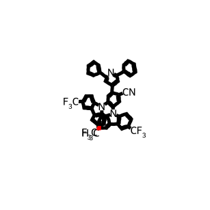 Cc1ccc2c(c1)c1cc(C(F)(F)F)ccc1n2-c1cc(C#N)c(-c2cc(-c3ccccc3)nc(-c3ccccc3)c2)cc1-n1c2ccc(C(F)(F)F)cc2c2cc(C(F)(F)F)ccc21